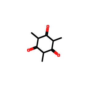 CC1C(=O)C(C)C(=O)C(C)C1=O